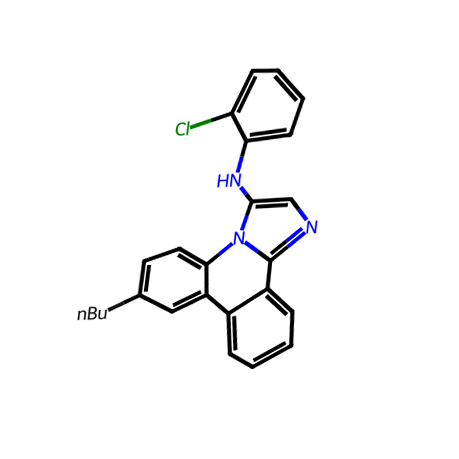 CCCCc1ccc2c(c1)c1ccccc1c1ncc(Nc3ccccc3Cl)n21